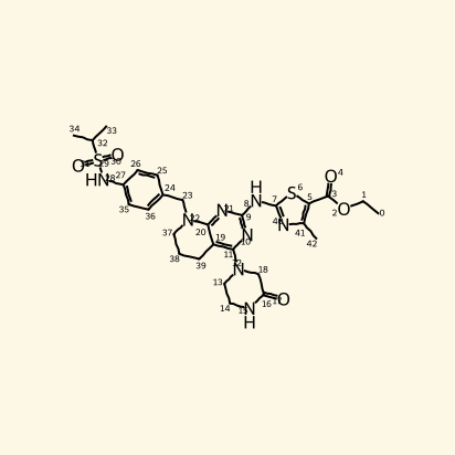 CCOC(=O)c1sc(Nc2nc(N3CCNC(=O)C3)c3c(n2)N(Cc2ccc(NS(=O)(=O)C(C)C)cc2)CCC3)nc1C